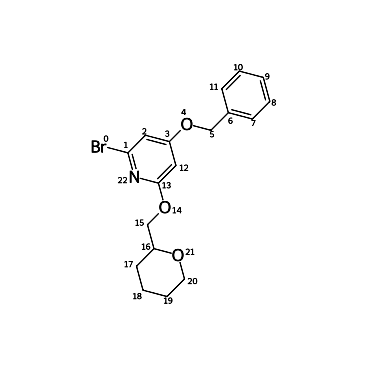 Brc1cc(OCc2ccccc2)cc(OCC2CCCCO2)n1